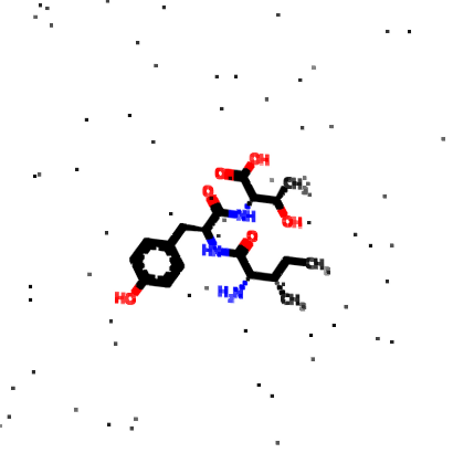 CC[C@H](C)[C@H](N)C(=O)N[C@@H](Cc1ccc(O)cc1)C(=O)N[C@H](C(=O)O)[C@@H](C)O